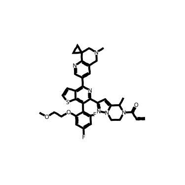 C=CC(=O)N1CCn2nc(-c3nc(-c4cnc5c(c4)CN(C)CC54CC4)c4ccsc4c3-c3c(F)cc(F)cc3OCCOC)cc2C1C